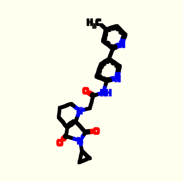 Cc1ccnc(-c2ccc(NC(=O)CN3CCCC4=C3C(=O)N(C3CC3)C4=O)nc2)c1